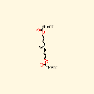 CCCCCC(=O)OCCC[CH2][Sn][CH2]CCCOC(=O)CCCCC